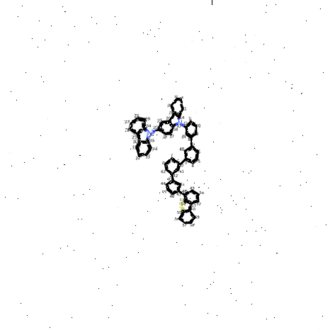 c1cc(-c2cccc(-c3cccc(-n4c5ccccc5c5cc(-n6c7ccccc7c7ccccc76)ccc54)c3)c2)cc(-c2cccc(-c3cccc4c3sc3ccccc34)c2)c1